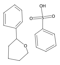 O=S(=O)(O)c1ccccc1.c1ccc(C2CCCCO2)cc1